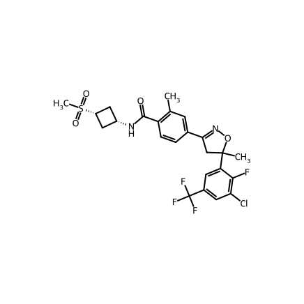 Cc1cc(C2=NOC(C)(c3cc(C(F)(F)F)cc(Cl)c3F)C2)ccc1C(=O)N[C@H]1C[C@@H](S(C)(=O)=O)C1